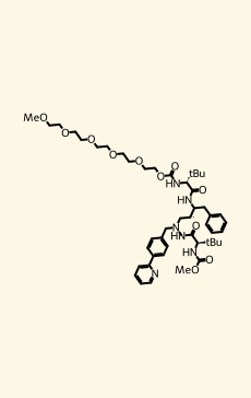 COCCOCCOCCOCCOCCOC(=O)N[C@@H](C(=O)NC([CH]CN(Cc1ccc(-c2ccccn2)cc1)NC(=O)[C@H](NC(=O)OC)C(C)(C)C)Cc1ccccc1)C(C)(C)C